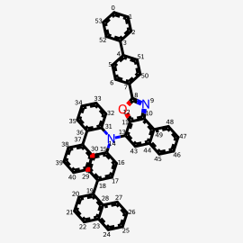 c1ccc(-c2ccc(-c3nc4c(o3)c(N(c3ccc(-c5cccc6ccccc56)cc3)c3ccccc3-c3ccccc3)cc3ccccc34)cc2)cc1